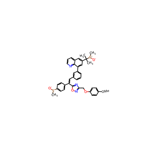 COc1ccc(OCc2noc(C(=Cc3cccc(-c4cc(C(C)(C)[S+](C)[O-])cc5cccnc45)c3)c3ccc([S+](C)[O-])cc3)n2)cc1